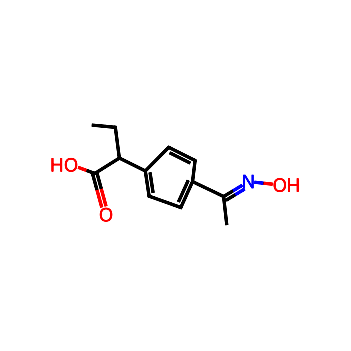 CCC(C(=O)O)c1ccc(C(C)=NO)cc1